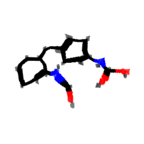 O=C=Nc1ccccc1Cc1ccc(NC(=O)O)cc1